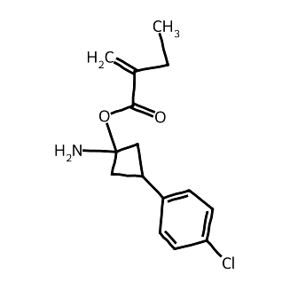 C=C(CC)C(=O)OC1(N)CC(c2ccc(Cl)cc2)C1